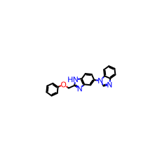 c1ccc(OCc2nc3cc(-n4cnc5ccccc54)ccc3[nH]2)cc1